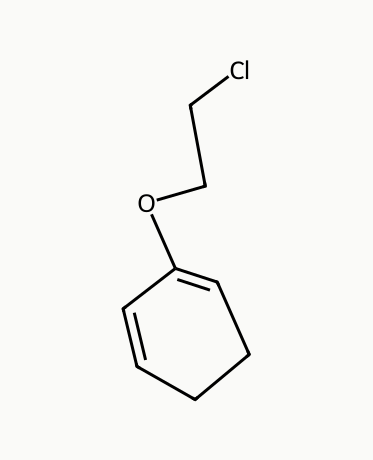 ClCCOC1=CCCC=C1